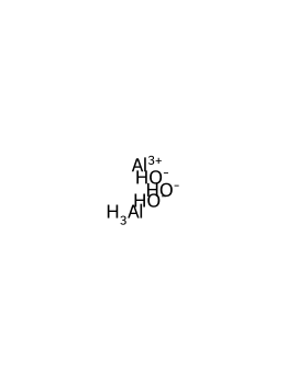 [Al+3].[AlH3].[OH-].[OH-].[OH-]